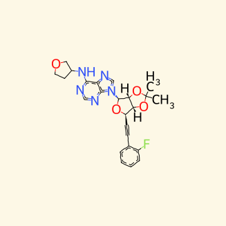 CC1(C)O[C@@H]2[C@H](O1)[C@@H](C#Cc1ccccc1F)O[C@H]2n1cnc2c(NC3CCOC3)ncnc21